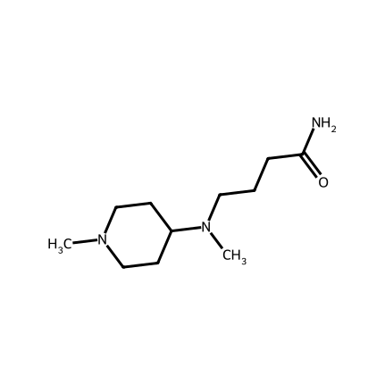 CN1CCC(N(C)CCCC(N)=O)CC1